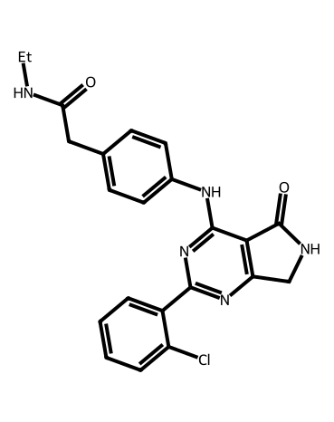 CCNC(=O)Cc1ccc(Nc2nc(-c3ccccc3Cl)nc3c2C(=O)NC3)cc1